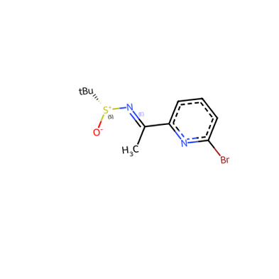 C/C(=N\[S@+]([O-])C(C)(C)C)c1cccc(Br)n1